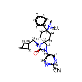 CCN(C)[C@]1(c2ccccc2)CC[C@]2(CC1)CN(c1cnc(C#N)nc1)C(=O)N2CC1CCC1